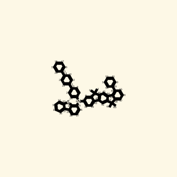 CC1(C)c2cc(N(c3ccc(-c4ccc(-c5ccccc5)cc4)cc3)c3cccc4c3sc3ccccc34)ccc2-c2cc3c(cc21)-c1c(-c2ccccc2)cccc1C3(C)C